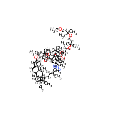 COCCC(C)(C)OCCC(C)(C)OCCOC(=O)C(CC(C)(C)C)C(C)(C)C(C)(N)CC(C(=O)OC(C)(C)CC(C)(C)OC1CC[C@@]2(C)C(=CC[C@H]3[C@]4(C)CC[C@](C)([C@H](C)CCCC(C)C)[C@H]4CC[C@@]32C)C1)C(C)(C)C